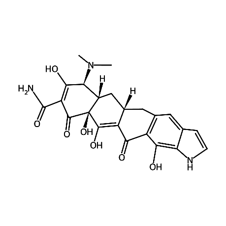 CN(C)[C@@H]1C(O)=C(C(N)=O)C(=O)[C@@]2(O)C(O)=C3C(=O)c4c(cc5cc[nH]c5c4O)C[C@H]3C[C@@H]12